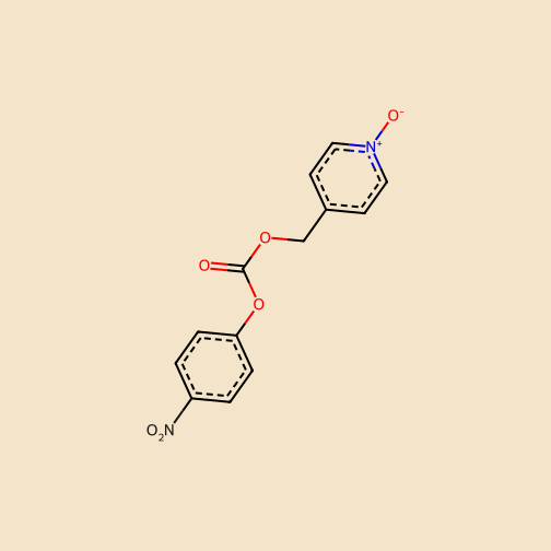 O=C(OCc1cc[n+]([O-])cc1)Oc1ccc([N+](=O)[O-])cc1